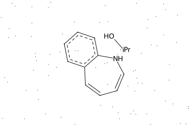 C1=CNc2ccccc2C=C1.CC(C)O